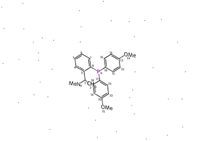 CNC(C)c1ccccc1P(c1ccc(OC)cc1)c1ccc(OC)cc1